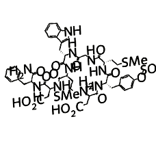 CSCC[C@H](NC(=O)[C@H](Cc1ccc(OS(=O)(=O)O)cc1)NC(=O)[C@H](N)CC(=O)O)C(=O)NCC(=O)N[C@@H](Cc1c[nH]c2ccccc12)C(=O)N[C@@H](CCSC)C(=O)N[C@@H](CC(=O)O)C(=O)N[C@@H](Cc1ccccc1)C(N)=O